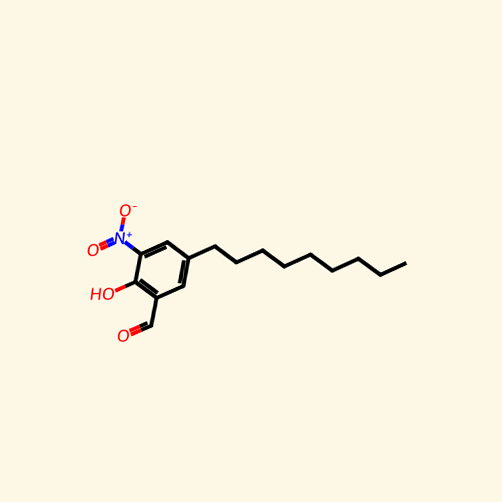 CCCCCCCCCc1cc(C=O)c(O)c([N+](=O)[O-])c1